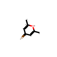 Cc1[c]c(=S)cc(C)o1